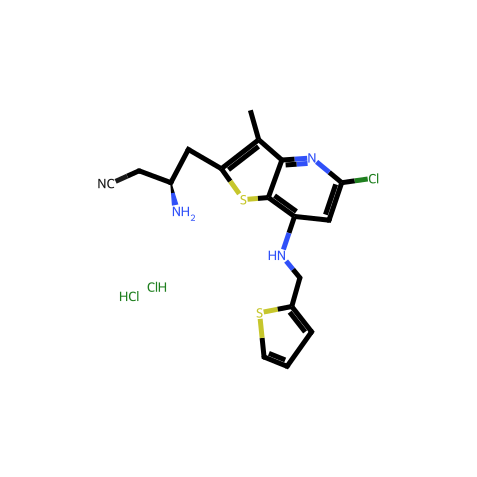 Cc1c(C[C@@H](N)CC#N)sc2c(NCc3cccs3)cc(Cl)nc12.Cl.Cl